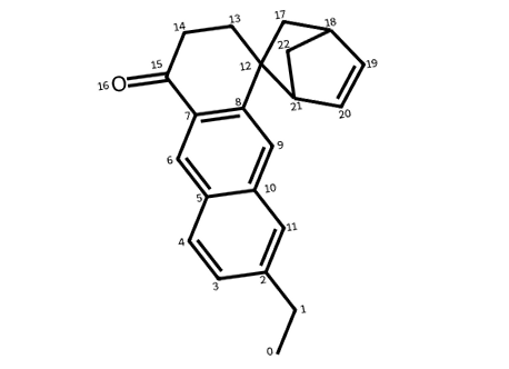 CCc1ccc2cc3c(cc2c1)C1(CCC3=O)CC2C=CC1C2